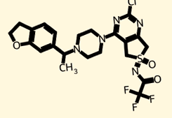 CC(c1ccc2c(c1)OCC2)N1CCN(c2nc(Cl)nc3c2CS(=O)(=NC(=O)C(F)(F)F)C3)CC1